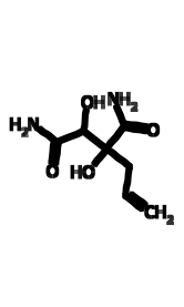 C=CCC(O)(C(N)=O)C(O)C(N)=O